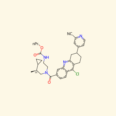 CCCOC(=O)NCCN(C[C@@H](C)C1CC1)C(=O)c1ccc2c(Cl)c3c(nc2c1)CC(c1ccnc(C#N)c1)CC3